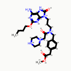 CCCCOc1nc(N)c2[nH]c(=O)n(CCCN(Cc3ccc(CC(=O)OC)cc3)C(=O)CN3CCNCC3)c2n1